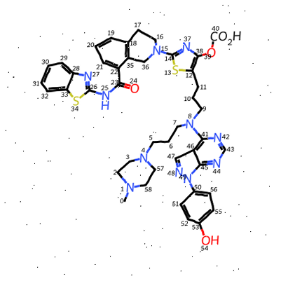 CN1CCN(CCCN(CCCc2sc(N3CCc4cccc(C(=O)Nc5nc6ccccc6s5)c4C3)nc2OC(=O)O)c2ncnc3c2cnn3-c2ccc(O)cc2)CC1